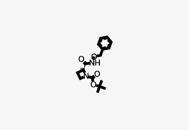 CC(C)(C)OC(=O)N1CC[C@@H]1C(=O)NOCc1ccccc1